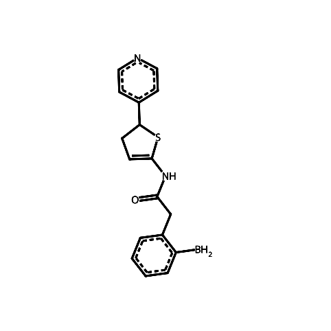 Bc1ccccc1CC(=O)NC1=CCC(c2ccncc2)S1